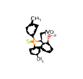 Cc1ccc(P(=S)(c2ccc(C)cc2)C(C[N+](=O)[O-])c2ccccc2Br)cc1